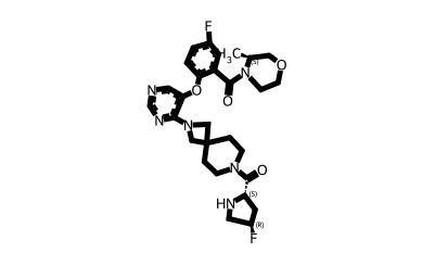 C[C@H]1COCCN1C(=O)c1cc(F)ccc1Oc1cncnc1N1CC2(CCN(C(=O)[C@@H]3C[C@@H](F)CN3)CC2)C1